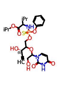 C#C[C@H](O)C(COP(=S)(NC(C(=O)OC(C)C)C(C)C)Oc1ccccc1)OC(CO)n1ccc(=O)[nH]c1=O